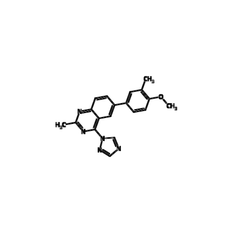 COc1ccc(-c2ccc3nc(C)nc(-n4cncn4)c3c2)cc1C